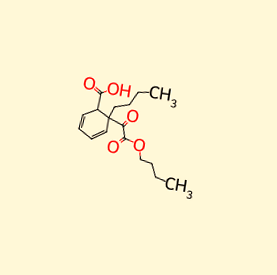 CCCCOC(=O)C(=O)C1(CCCC)C=CC=CC1C(=O)O